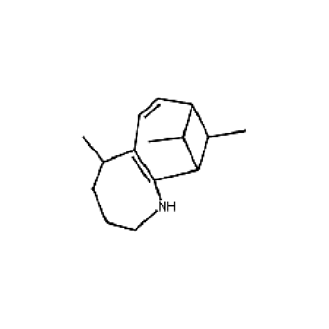 CC1CCCNC2=C1C=CC1C(C)C2C1C